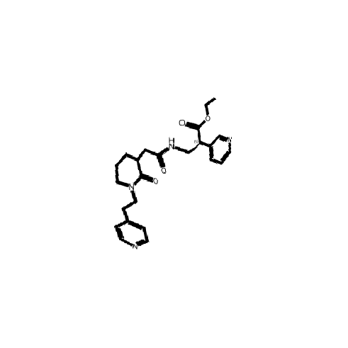 CCOC(=O)[C@H](CNC(=O)CC1CCCN(CCc2ccncc2)C1=O)c1cccnc1